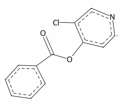 O=C(Oc1c[c]ncc1Cl)c1ccccc1